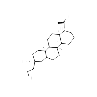 CCC[C@@]1(O)CC[C@H]2[C@@H](CC[C@@H]3[C@@H]2CC[C@]2(C)[C@@H](C(C)=O)CCC[C@@H]32)C1